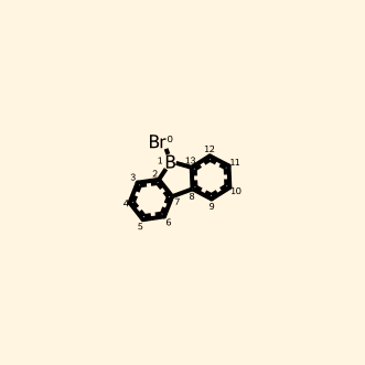 BrB1c2ccccc2-c2ccccc21